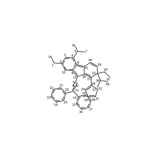 CCc1cc(C(C)C)c2c(c1)=[C]([Zr]=[C](c1ccccc1)c1ccccc1)C1=C(C3=CC=CC3)C(CC)(C(C)C)C=CC=21